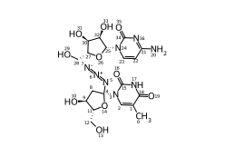 Cc1cn([C@@]2(N=[N+]=[N-])C[C@H](O)[C@@H](CO)O2)c(=O)[nH]c1=O.Nc1ccn([C@@H]2O[C@H](CO)[C@@H](O)[C@H]2O)c(=O)n1